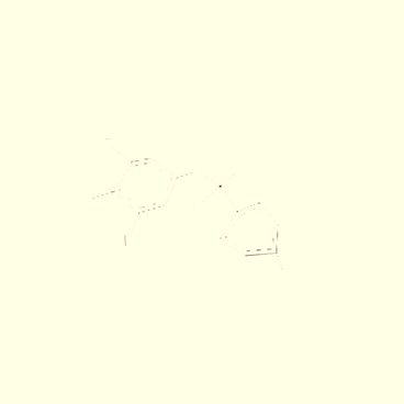 Cc1ccc(C(F)(F)Oc2cc(F)c(C)c(F)c2)cc1